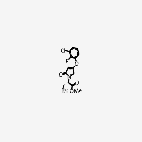 COC(=O)[C@H](CC(C)C)N1CC(Oc2cccc(Cl)c2F)=CC1=O